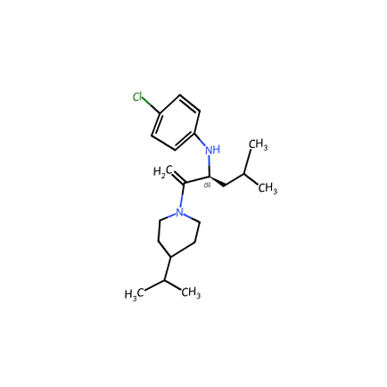 C=C([C@H](CC(C)C)Nc1ccc(Cl)cc1)N1CCC(C(C)C)CC1